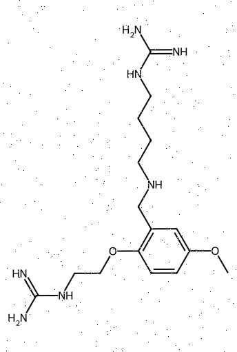 COc1ccc(OCCNC(=N)N)c(CNCCCCNC(=N)N)c1